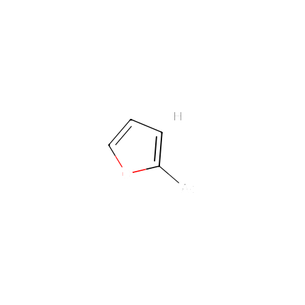 CC(=O)c1ccco1.[H+]